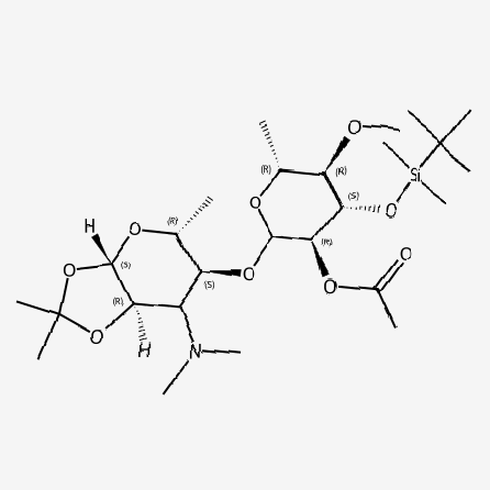 CO[C@H]1[C@H](O[Si](C)(C)C(C)(C)C)[C@@H](OC(C)=O)C(O[C@H]2C(N(C)C)[C@H]3OC(C)(C)O[C@@H]3O[C@@H]2C)O[C@@H]1C